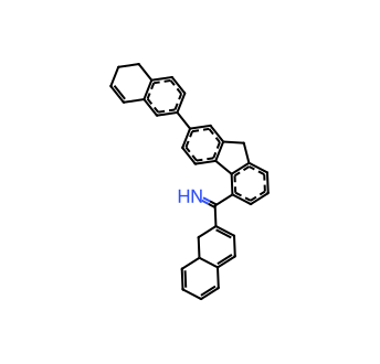 N=C(C1=CC=C2C=CC=CC2C1)c1cccc2c1-c1ccc(-c3ccc4c(c3)C=CCC4)cc1C2